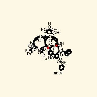 CCCCOc1ccc(NC(=O)Oc2cc(O)c3c(c2)[C@@H](C(=O)CC2C4CC5CC(C4)CC2C5)NC(=O)[C@H]2NC(=O)[C@H](CC(=O)C4NC(=O)[C@H](CC(N)=O)CC(=O)[C@H](NC(=O)[C@H](CC)CC(C)C)[C@H](O)c5ccc(c(Cl)c5)Oc5cc4cc(c5O[C@@H]4O[C@H](CO)[C@@H](O)[C@H](O)[C@H]4O)Oc4ccc(cc4Cl)[C@H]2O)c2ccc(O)c-3c2)cc1